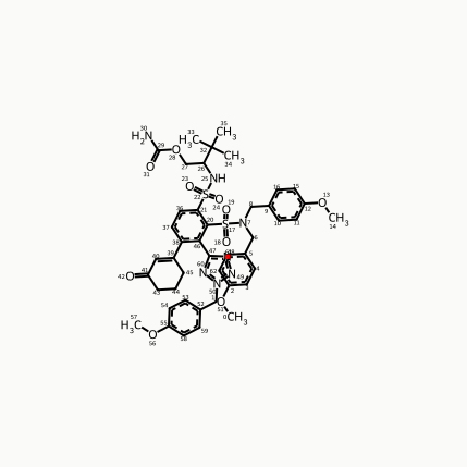 COc1ccc(CN(Cc2ccc(OC)cc2)S(=O)(=O)c2c(S(=O)(=O)NC(COC(N)=O)C(C)(C)C)ccc(C3=CC(=O)CCC3)c2-c2nnn(Cc3ccc(OC)cc3)n2)cc1